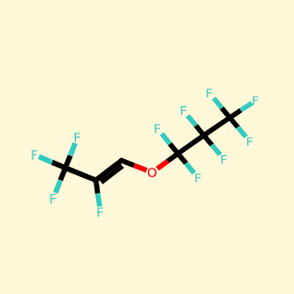 FC(=COC(F)(F)C(F)(F)C(F)(F)F)C(F)(F)F